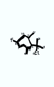 CCC(C)(C)C1C(C)=CC(F)=CC1C